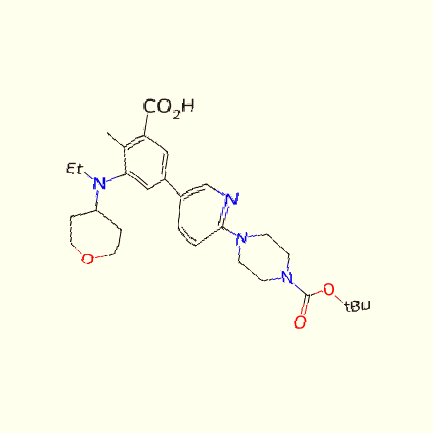 CCN(c1cc(-c2ccc(N3CCN(C(=O)OC(C)(C)C)CC3)nc2)cc(C(=O)O)c1C)C1CCOCC1